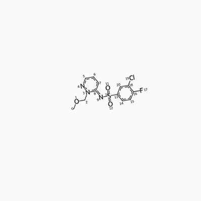 COCn1nccc/c1=N\S(=O)(=O)c1ccc(F)c(Cl)c1